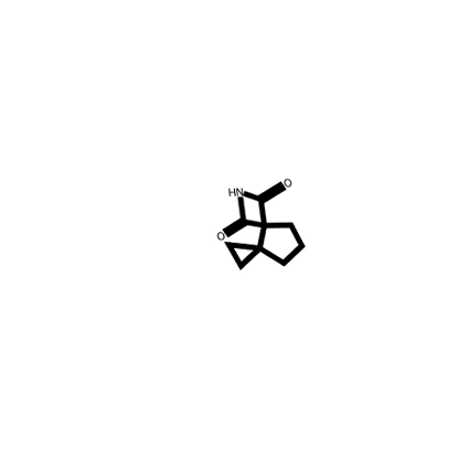 O=C1NC(=O)C12CCCC21CC1